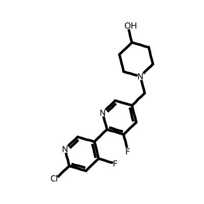 OC1CCN(Cc2cnc(-c3cnc(Cl)cc3F)c(F)c2)CC1